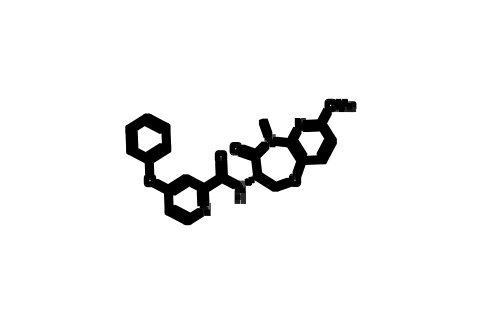 COc1ccc2c(n1)N(C)C(=O)[C@@H](NC(=O)c1cc(Oc3ccccc3)ccn1)CO2